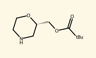 CC(C)(C)C(=O)OC[C@@H]1CNCCO1